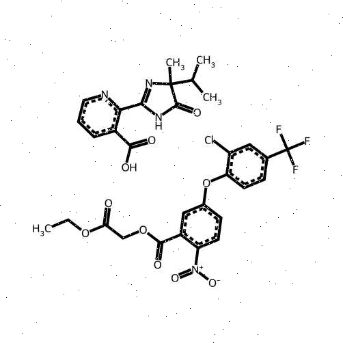 CC(C)C1(C)N=C(c2ncccc2C(=O)O)NC1=O.CCOC(=O)COC(=O)c1cc(Oc2ccc(C(F)(F)F)cc2Cl)ccc1[N+](=O)[O-]